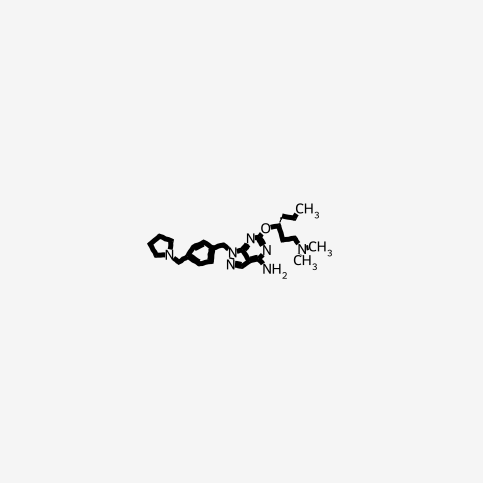 CCC[C@H](CCN(C)C)Oc1nc(N)c2cnn(Cc3ccc(CN4CCCC4)cc3)c2n1